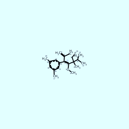 C=C(C)/C(=C(/OC)C(C)(CC)C(C)C)c1cc(C)cc(C)c1